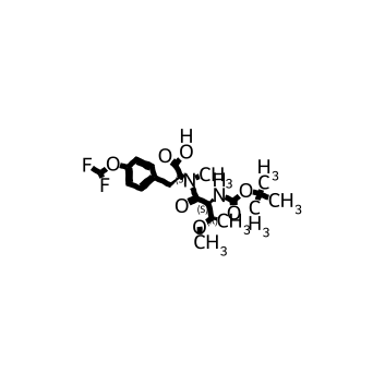 CO[C@H](C)[C@H](NC(=O)OC(C)(C)C)C(=O)N(C)[C@@H](Cc1ccc(OC(F)F)cc1)C(=O)O